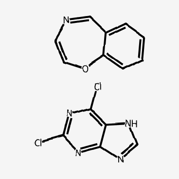 C1=COc2ccccc2C=N1.Clc1nc(Cl)c2[nH]cnc2n1